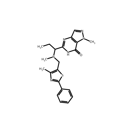 CCC(c1nc2cnn(C)c2c(=O)[nH]1)N(C)Cc1sc(-c2ccccc2)nc1C